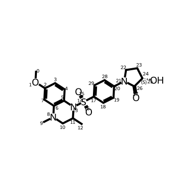 COc1ccc2c(c1)N(C)CC(C)N2S(=O)(=O)c1ccc(N2CC[C@H](O)C2=O)cc1